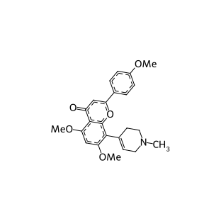 COc1ccc(-c2cc(=O)c3c(OC)cc(OC)c(C4=CCN(C)CC4)c3o2)cc1